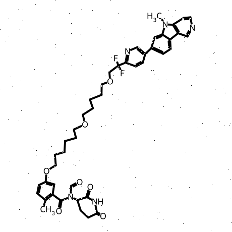 Cc1ccc(OCCCCCCOCCCCCOCC(F)(F)c2ccc(-c3ccc4c5cnccc5n(C)c4c3)cn2)cc1C(=O)N(C=O)C1CCC(=O)NC1=O